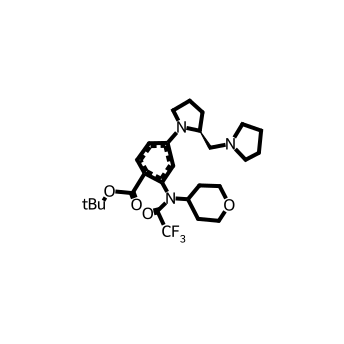 CC(C)(C)OC(=O)c1ccc(N2CCC[C@H]2CN2CCCC2)cc1N(C(=O)C(F)(F)F)C1CCOCC1